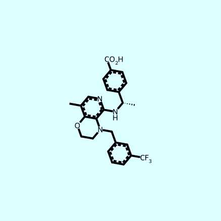 Cc1cnc(N[C@@H](C)c2ccc(C(=O)O)cc2)c2c1OCCN2Cc1cccc(C(F)(F)F)c1